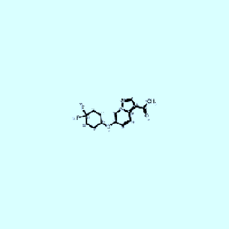 CC(=O)c1cnn2cc(OC3CCC(F)(F)CC3)ccc12